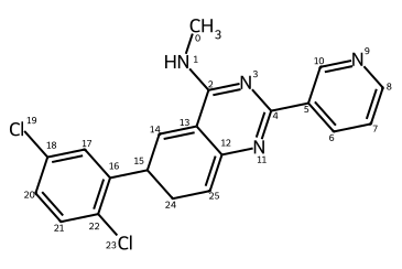 CNc1nc(-c2cccnc2)nc2c1=CC(c1cc(Cl)ccc1Cl)CC=2